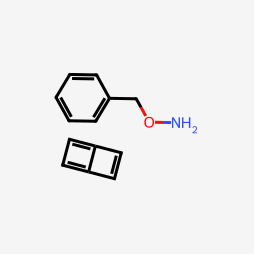 NOCc1ccccc1.c1cc2ccc1-2